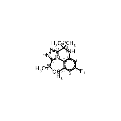 Cc1cc(F)cc2c1-n1c(C(C)O)nnc1C(C)(C)N2